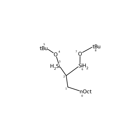 CCCCCCCCCC([SiH2]OC(C)(C)C)[SiH2]OC(C)(C)C